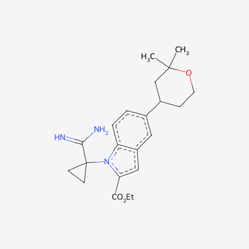 CCOC(=O)c1cc2cc(C3CCOC(C)(C)C3)ccc2n1C1(C(=N)N)CC1